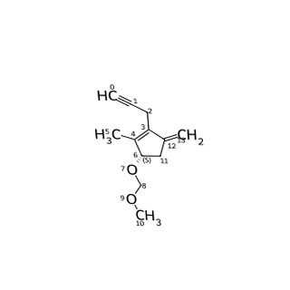 C#CCC1=C(C)[C@@H](OCOC)CC1=C